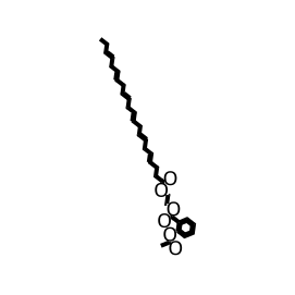 CCC=CCC=CCC=CCC=CCC=CCC=CCCC(=O)OCCOC(=O)c1ccccc1OC(C)=O